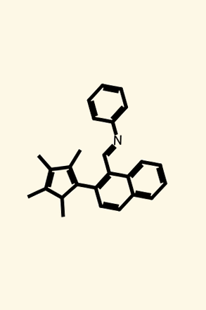 CC1=C(C)C(C)C(c2ccc3ccccc3c2/C=N/c2ccccc2)=C1C